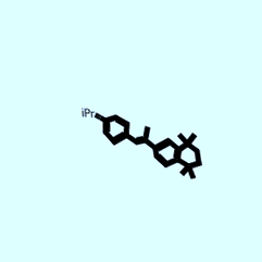 CC(=Cc1ccc(C(C)C)cc1)c1ccc2c(c1)C(C)(C)CCC2(C)C